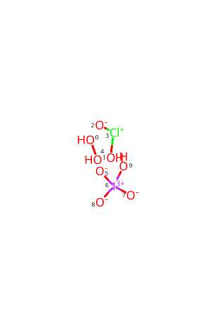 OO.[O-][Cl+]O.[O-][I+3]([O-])([O-])O